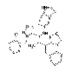 CC(C(Cc1ccccc1)C1=COCO1)C(Nc1ccc2[nH]cnc2c1)c1nnnn1Cc1ccccc1Cl